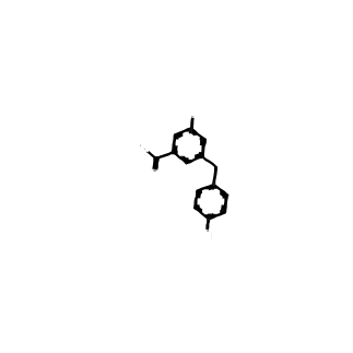 CCc1cc(Cc2ccc(C(F)(F)F)cc2)cc(C(N)=O)c1